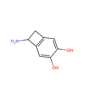 NC1Cc2cc(O)c(O)cc21